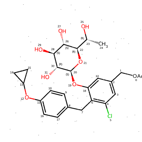 CC(=O)OCc1cc(Cl)c(Cc2ccc(OC3CC3)cc2)c(O[C@@H]2O[C@H]([C@@H](C)O)[C@@H](O)[C@H](O)[C@H]2O)c1